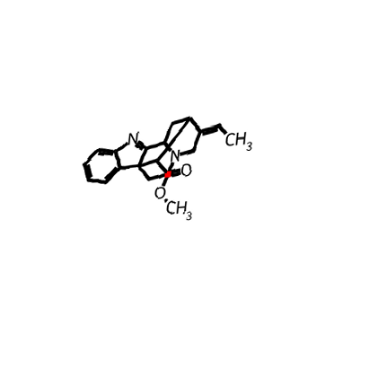 C/C=C1\CN2CCC34C(=Nc5ccccc53)C2CC1C4C(=O)OC